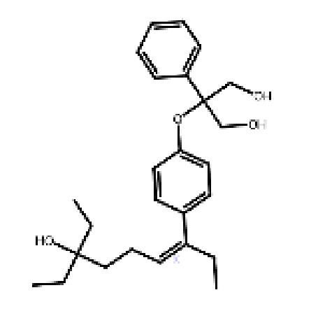 CC/C(=C/CCC(O)(CC)CC)c1ccc(OC(CO)(CO)c2ccccc2)cc1